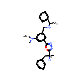 CSN(C)c1cc(CNC(c2ccccc2)C(F)(F)F)cc(-c2nnc([C@](C)(N)Cc3ccccc3)o2)c1